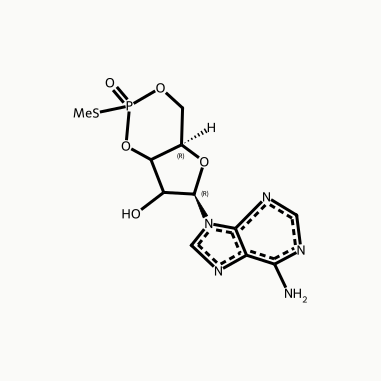 CSP1(=O)OC[C@H]2O[C@@H](n3cnc4c(N)ncnc43)C(O)C2O1